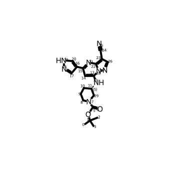 CC(C)(C)OC(=O)N1CCC[C@H](Nc2cc(-c3cn[nH]c3)nc3c(C#N)cnn23)C1